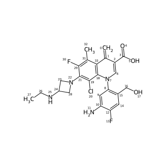 C=C1C(C(=O)O)=CN(c2cc(N)c(F)cc2CO)c2c(Cl)c(N3CC(NCC)C3)c(F)c(C)c21